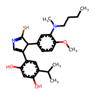 CCCCN(C)c1cc(C2C(c3cc(C(C)C)c(O)cc3O)=CN=C2S)ccc1OC